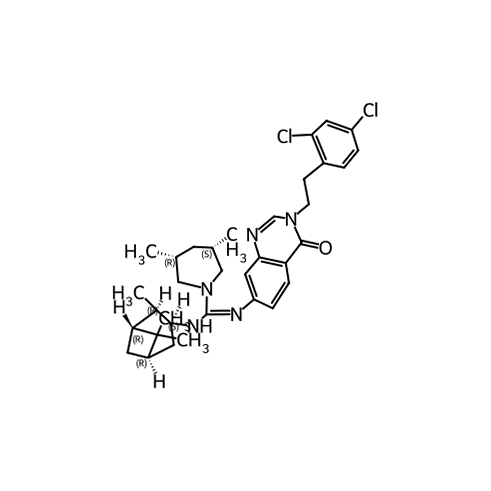 C[C@@H]1C[C@H](C)CN(C(=Nc2ccc3c(=O)n(CCc4ccc(Cl)cc4Cl)cnc3c2)N[C@H]2C[C@H]3C[C@H]([C@H]2C)C3(C)C)C1